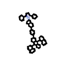 C1=CCC(c2ccc(-c3ccccc3)n2-c2ccc3cc(-c4ccc(-c5ccc6c(-c7cccc8ccccc78)c7ccccc7c(-c7cccc8ccccc78)c6c5)cc4)ccc3c2)C=C1